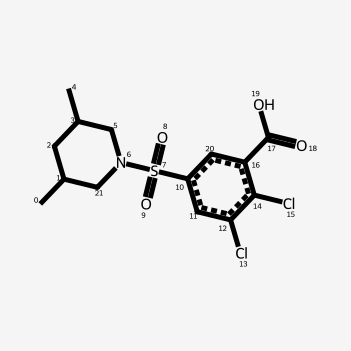 CC1CC(C)CN(S(=O)(=O)c2cc(Cl)c(Cl)c(C(=O)O)c2)C1